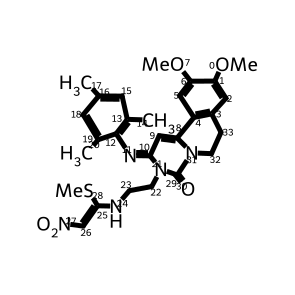 COc1cc2c(cc1OC)-c1c/c(=N\c3c(C)cc(C)cc3C)n(CCN/C(=C/[N+](=O)[O-])SC)c(=O)n1CC2